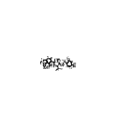 CC(C)C(NC(=O)c1ccc2c(c1)B(O)OC2)C(=O)OCc1ccc(F)cc1F